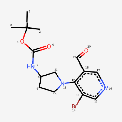 CC(C)(C)OC(=O)NC1CCN(c2c(Br)cncc2C=O)C1